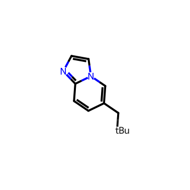 CC(C)(C)Cc1ccc2nccn2c1